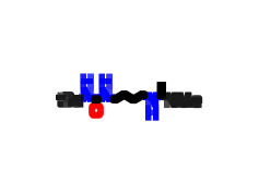 C=C(NC)NCCCCNC(=O)NC(C)(C)C